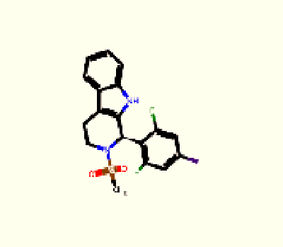 CS(=O)(=O)N1CCc2c([nH]c3ccccc23)[C@H]1c1c(F)cc(I)cc1F